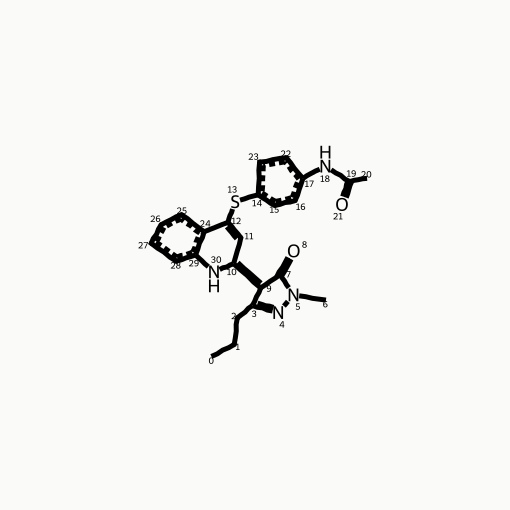 CCCC1=NN(C)C(=O)C1=C1C=C(Sc2ccc(NC(C)=O)cc2)c2ccccc2N1